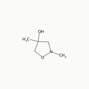 CN1CC(C)(O)CO1